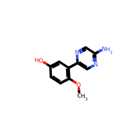 COc1ccc(O)cc1-c1cnc(N)cn1